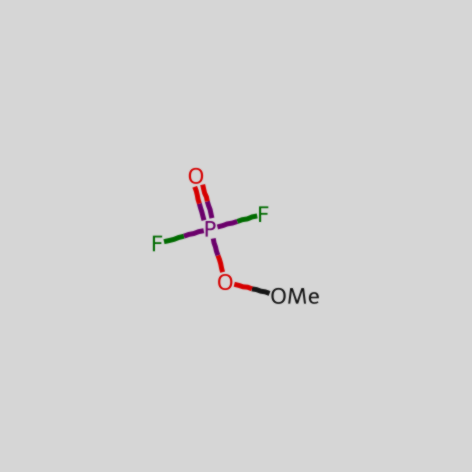 COOP(=O)(F)F